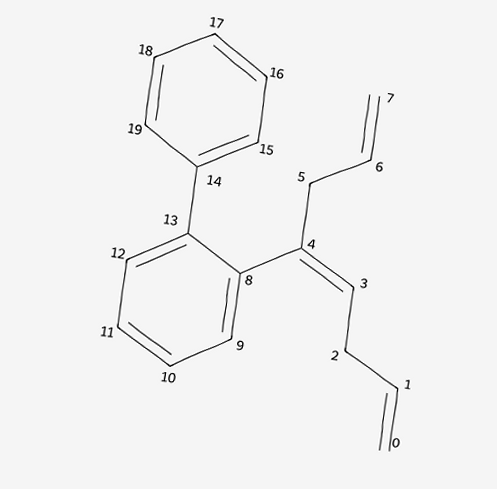 C=CC/C=C(/CC=C)c1ccccc1-c1ccccc1